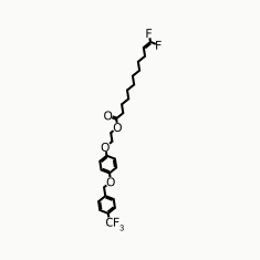 O=C(CCCCCCCCCC=C(F)F)OCCOc1ccc(OCc2ccc(C(F)(F)F)cc2)cc1